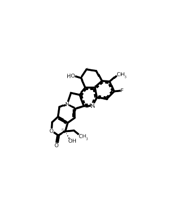 CC[C@@]1(O)C(=O)OCC2=C1C=C1c3nc4cc(F)c(C)c5c4c(c3CN1C2)C(O)CC5